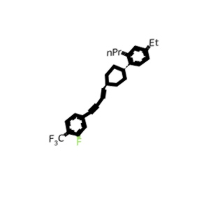 CCCc1cc(CC)ccc1[C@H]1CC[C@H](/C=C/C#Cc2ccc(C(F)(F)F)c(F)c2)CC1